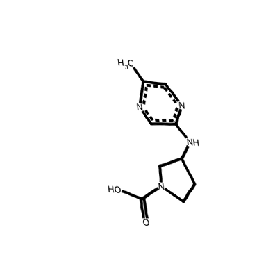 Cc1cnc(NC2CCN(C(=O)O)C2)cn1